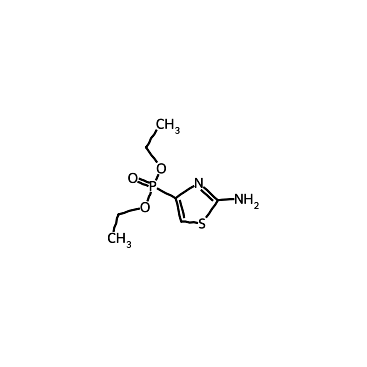 CCOP(=O)(OCC)c1csc(N)n1